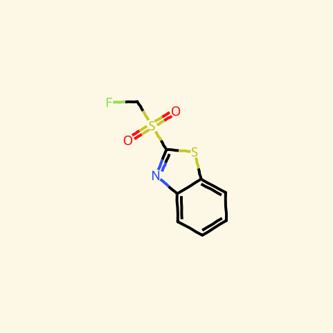 O=S(=O)(CF)c1nc2ccccc2s1